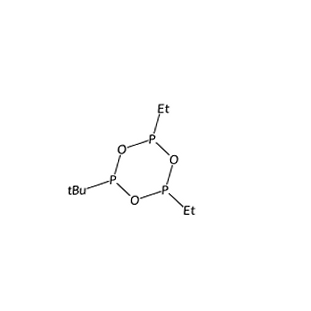 CCP1OP(CC)OP(C(C)(C)C)O1